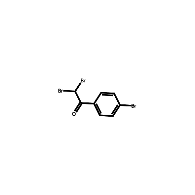 O=C(c1ccc(Br)cc1)C(Br)Br